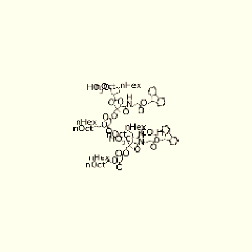 CCCCCCCCC(CCCCCC)COC(=O)CC(=O)OCC(C)(C)C(C(=O)NCCC(=O)OCC1c2ccccc2-c2ccccc21)C(CCC(=O)O)(CC(CCCCCC)CCCCCCCC)C(=O)O.CCCCCCCCC(CCCCCC)COC(=O)CC(=O)OCC(C)(C)C(OC(=O)C(CCC(=O)O)CC(CCCCCC)CCCCCCCC)C(=O)NCCC(=O)OCC1c2ccccc2-c2ccccc21